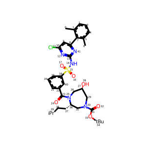 Cc1cccc(C)c1-c1cc(Cl)nc(NS(=O)(=O)c2cccc(C(=O)N3C[C@H](O)CN(C(=O)OC(C)(C)C)C[C@@H]3CCC(C)C)c2)n1